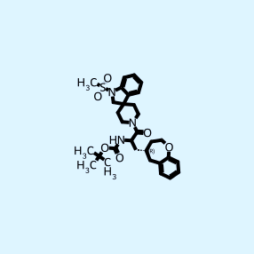 CC(C)(C)OC(=O)NC(C[C@@H]1CCOc2ccccc2C1)C(=O)N1CCC2(CC1)CN(S(C)(=O)=O)c1ccccc12